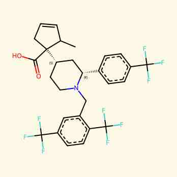 CC1C=CCC1(C(=O)O)[C@H]1CCN(Cc2cc(C(F)(F)F)ccc2C(F)(F)F)[C@@H](c2ccc(C(F)(F)F)cc2)C1